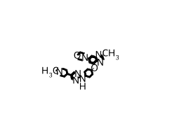 Cc1cnc2c(O[C@H]3CC[C@@H](Nc4ncc(C5CCN(C)CC5)cn4)CC3)cc(N3CCOCC3)cc2n1